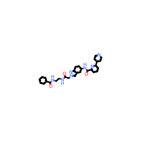 O=C(Cn1cc2cc(NC(=O)c3cccc(-c4ccncc4)n3)ccc2n1)NCCNC(=O)c1ccccc1